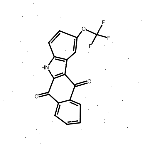 O=C1c2ccccc2C(=O)c2c1[nH]c1ccc(OC(F)(F)F)cc21